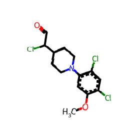 COc1cc(N2CCC(C(Cl)C=O)CC2)c(Cl)cc1Cl